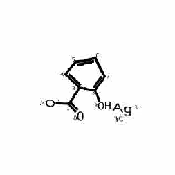 O=C([O-])c1ccccc1O.[Ag+]